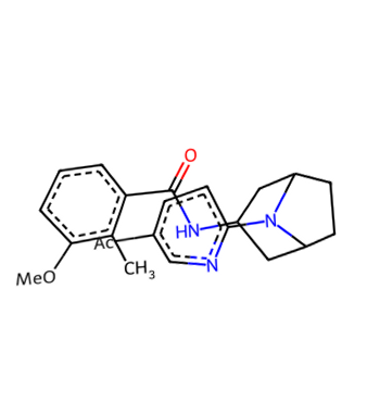 COc1cccc(C(=O)NC2CC3CCC(C2)N3c2ccc(C(C)=O)cn2)c1C